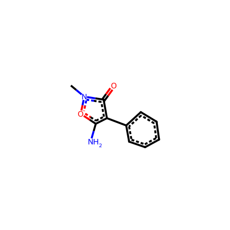 Cn1oc(N)c(-c2ccccc2)c1=O